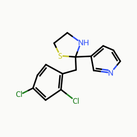 Clc1ccc(CC2(c3cccnc3)NCCS2)c(Cl)c1